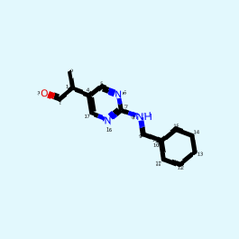 CC(C=O)c1cnc(NCC2CCCCC2)nc1